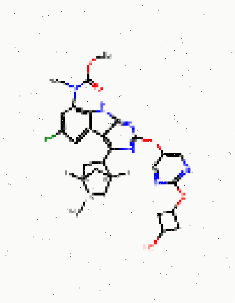 C[C@H]1C[C@@H]2C[C@H]1CC2c1nc(Oc2cnc(OC3CC(O)C3)nc2)nc2[nH]c3c(N(C)C(=O)OC(C)(C)C)cc(F)cc3c12